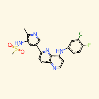 Cc1ncc(-c2ccc3nccc(Nc4ccc(F)c(Cl)c4)c3n2)cc1NS(C)(=O)=O